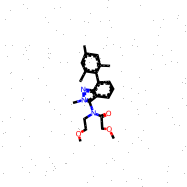 COCCN(C(=O)COC)c1c2cccc(-c3c(C)cc(C)cc3C)c2nn1C